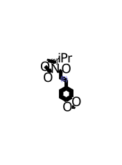 CC(C)[C@H]1COC(=O)N1C(=O)/C=C/c1ccc2c(c1)OCO2